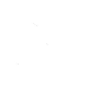 Fc1ccc2c(c1)c1c(n2Cc2ccc(Br)cc2)C2CCN(CC2)C1